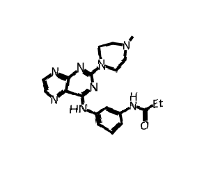 CCC(=O)Nc1cccc(Nc2nc(N3CCN(C)CC3)nc3nccnc23)c1